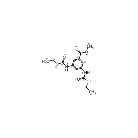 CCOC(=O)Nc1cc(NC(=O)OCC)cc(C(=O)OC)c1